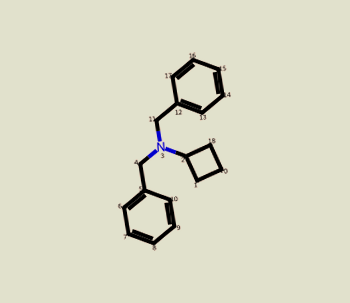 [CH]1CC(N(Cc2ccccc2)Cc2ccccc2)C1